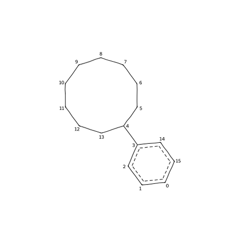 c1ccc(C2CCCCCCCCC2)cc1